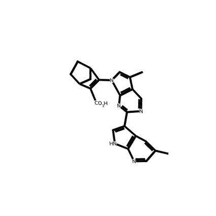 Cc1cnc2[nH]cc(-c3ncc4c(C)cn(C5=C(C(=O)O)C6CCC5C6)c4n3)c2c1